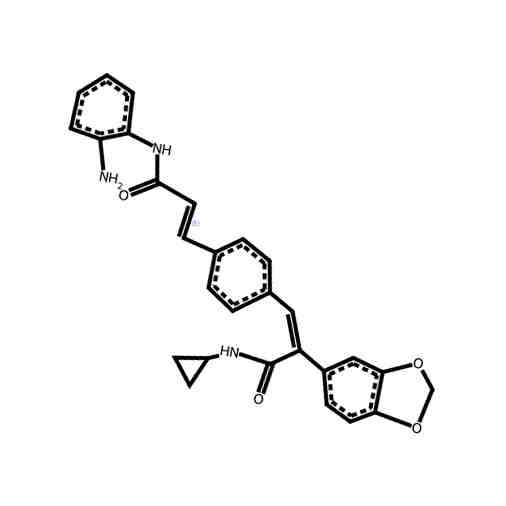 Nc1ccccc1NC(=O)/C=C/c1ccc(C=C(C(=O)NC2CC2)c2ccc3c(c2)OCO3)cc1